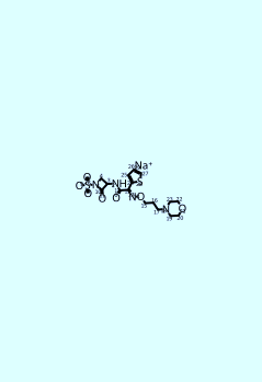 O=C(NC1CN(S(=O)(=O)[O-])C1=O)C(=NOCCCN1CCOCC1)c1cccs1.[Na+]